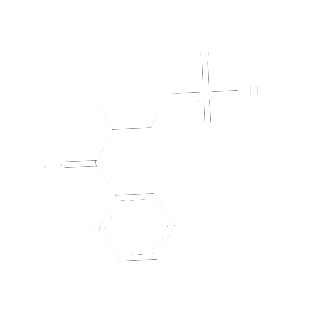 CC(COS(C)(=O)=O)C(=O)c1ccccc1